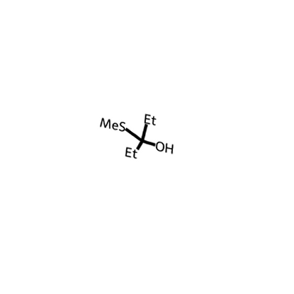 CCC(O)(CC)SC